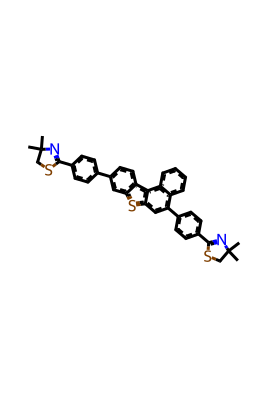 CC1(C)CSC(c2ccc(-c3ccc4c(c3)sc3cc(-c5ccc(C6=NC(C)(C)CS6)cc5)c5ccccc5c34)cc2)=N1